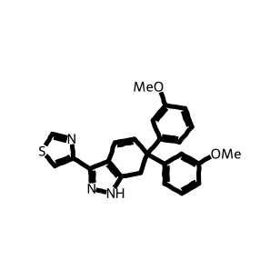 COc1cccc(C2(c3cccc(OC)c3)C=Cc3c(-c4cscn4)n[nH]c3C2)c1